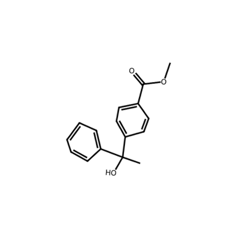 COC(=O)c1ccc(C(C)(O)c2ccccc2)cc1